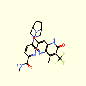 CNC(=O)c1ccc(N2CC3CCC(C2)N3Cc2cnc3c(C)c(C(F)(F)F)c(=O)[nH]c3c2)cn1